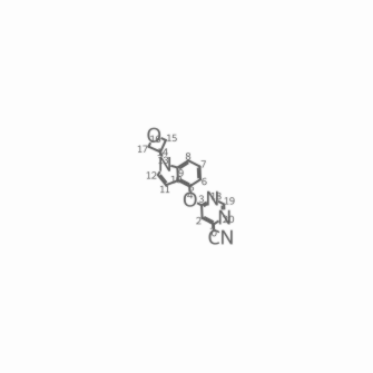 N#Cc1cc(Oc2cccc3c2ccn3C2COC2)ncn1